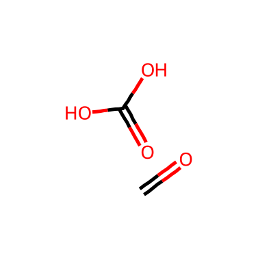 C=O.O=C(O)O